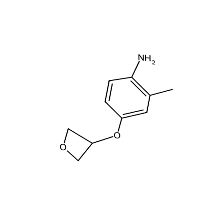 Cc1cc(OC2COC2)ccc1N